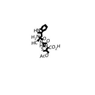 C#CC(N)(Cc1c[nH]c2ccccc12)C(=O)NC1C(=O)N2C(C(=O)O)=C(COC(C)=O)CSC12